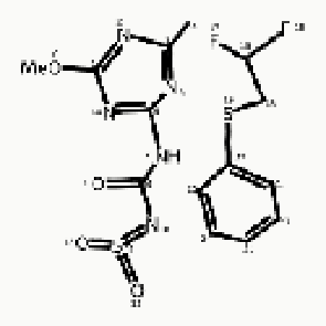 COc1nc(C)nc(NC(=O)N=S(=O)=O)n1.FC(F)CSc1ccccc1